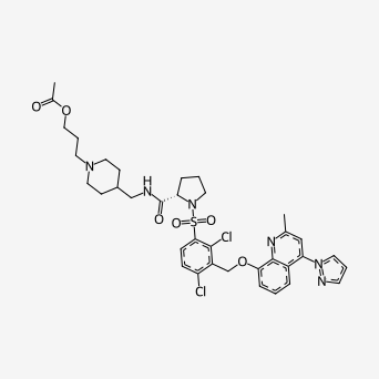 CC(=O)OCCCN1CCC(CNC(=O)[C@@H]2CCCN2S(=O)(=O)c2ccc(Cl)c(COc3cccc4c(-n5cccn5)cc(C)nc34)c2Cl)CC1